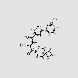 CC(NC(=O)c1noc(-c2cccc(F)c2)n1)C(=O)N1CCC2(CCC2)CC1